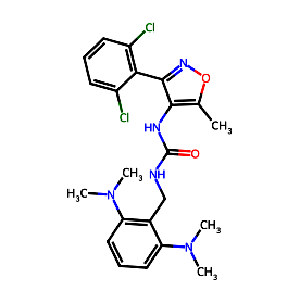 Cc1onc(-c2c(Cl)cccc2Cl)c1NC(=O)NCc1c(N(C)C)cccc1N(C)C